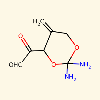 C=C1COC(N)(N)OC1C(=O)C=O